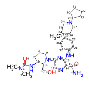 CN(C)C(=O)N[C@H]1CCCN(c2cnc(C(N)=O)c(Nc3ccc(C4(C)CCN(C5CCCC5)CC4)cc3)n2)[C@H]1CO